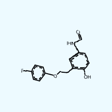 O=CNc1ccc(O)c(CCOc2ccc(F)cc2)c1